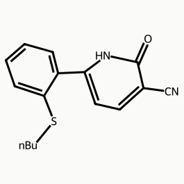 CCCCSc1ccccc1-c1ccc(C#N)c(=O)[nH]1